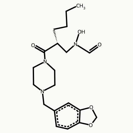 CCCC[C@H](CN(O)C=O)C(=O)N1CCN(Cc2ccc3c(c2)OCO3)CC1